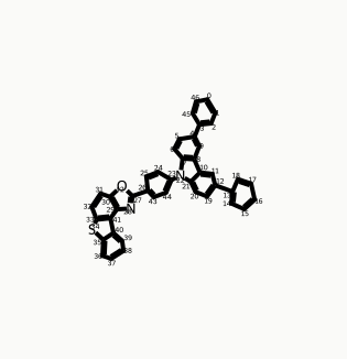 c1ccc(-c2ccc3c(c2)c2cc(-c4ccccc4)ccc2n3-c2ccc(-c3nc4c(ccc5sc6ccccc6c54)o3)cc2)cc1